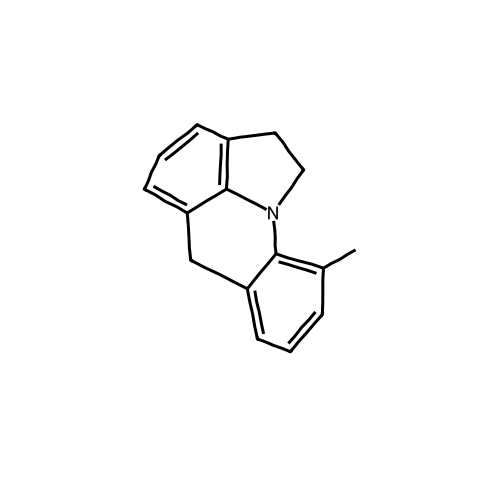 Cc1cccc2c1N1CCc3cccc(c31)C2